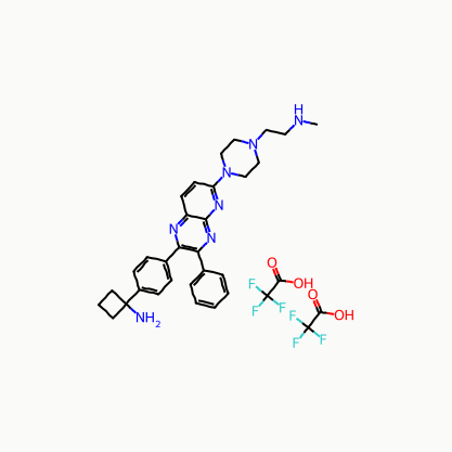 CNCCN1CCN(c2ccc3nc(-c4ccc(C5(N)CCC5)cc4)c(-c4ccccc4)nc3n2)CC1.O=C(O)C(F)(F)F.O=C(O)C(F)(F)F